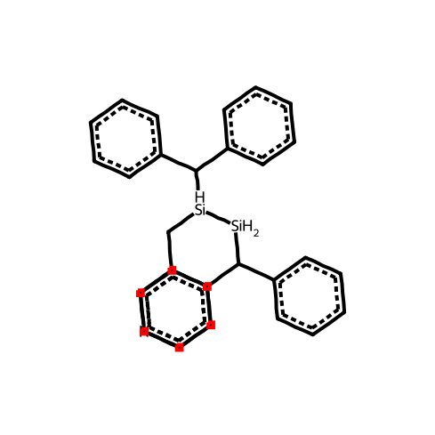 c1ccc(C([SiH2][SiH](Cc2cccnc2)C(c2ccccc2)c2ccccc2)c2ccccc2)cc1